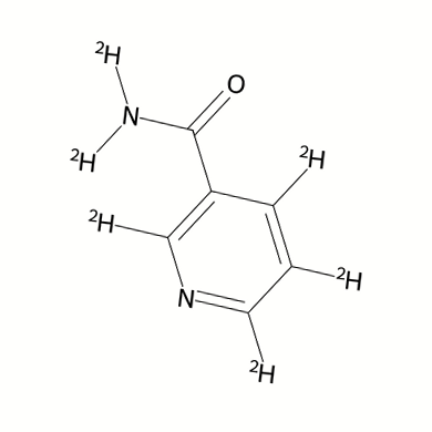 [2H]c1nc([2H])c(C(=O)N([2H])[2H])c([2H])c1[2H]